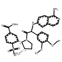 CCOc1cc(C(Nc2ccc3c(N)nccc3c2)C(=O)N2CC[C@H](C(=O)O)[C@@H]2c2cc(C(=O)OC)ccc2S(=O)(=O)C(C)C)ccc1OC(C)C